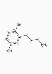 NCCCc1cc(O)ccc1O